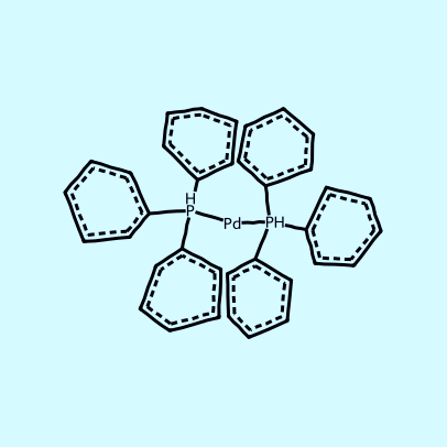 c1ccc([PH]([Pd][PH](c2ccccc2)(c2ccccc2)c2ccccc2)(c2ccccc2)c2ccccc2)cc1